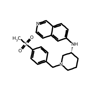 CS(=O)(=O)c1ccc(CN2CCC[C@@H](Nc3ccc4cnccc4c3)C2)cc1